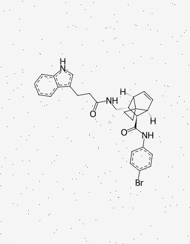 O=C(CCc1c[nH]c2ccccc12)NC[C@H]1[C@H](C(=O)Nc2ccc(Br)cc2)[C@@H]2C=C[C@H]1C21CC1